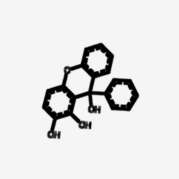 Oc1ccc2c(c1O)C(O)(c1ccccc1)c1ccccc1O2